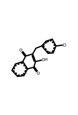 O=C1C(O)=C(Cc2ccc(Cl)cc2)C(=O)c2ccccc21